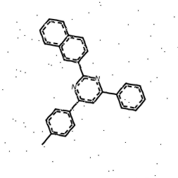 Cc1ccc(-c2cc(-c3ccccc3)nc(-c3ccc4ccccc4c3)n2)cc1